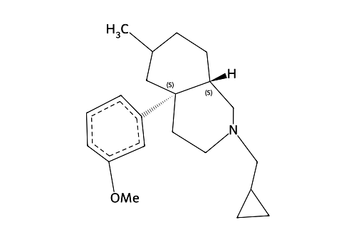 COc1cccc([C@@]23CCN(CC4CC4)C[C@H]2CCC(C)C3)c1